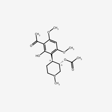 COc1cc(OC)c([C@@H]2CCN(C)C[C@H]2OC(C)=O)c(O)c1C(C)=O